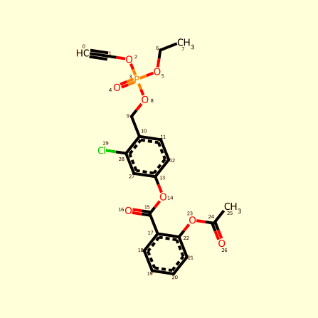 C#COP(=O)(OCC)OCc1ccc(OC(=O)c2ccccc2OC(C)=O)cc1Cl